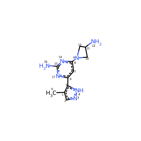 Cc1cn[nH]c1-c1cc(N2CC(N)C2)nc(N)n1